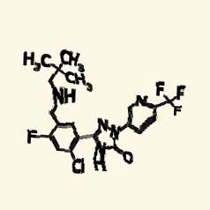 CC(C)(C)CNCc1cc(-c2nn(-c3ccc(C(F)(F)F)nc3)c(=O)[nH]2)c(Cl)cc1F